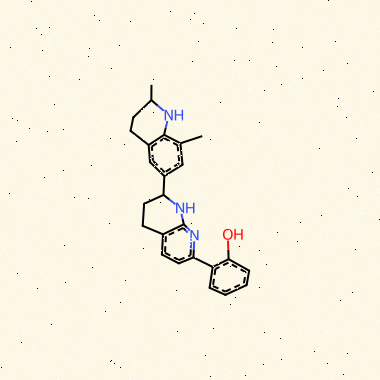 Cc1cc(C2CCc3ccc(-c4ccccc4O)nc3N2)cc2c1NC(C)CC2